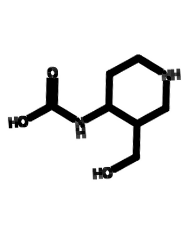 O=C(O)NC1CCNCC1CO